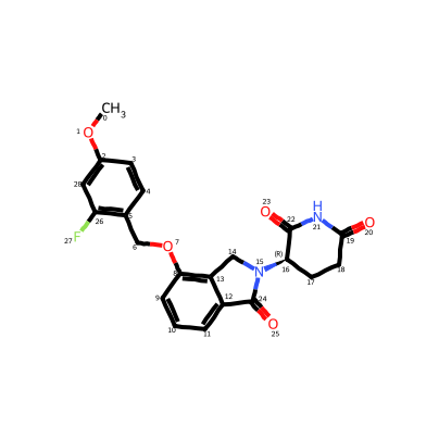 COc1ccc(COc2cccc3c2CN([C@@H]2CCC(=O)NC2=O)C3=O)c(F)c1